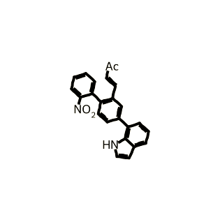 CC(=O)/C=C/c1cc(-c2cccc3cc[nH]c23)ccc1-c1ccccc1[N+](=O)[O-]